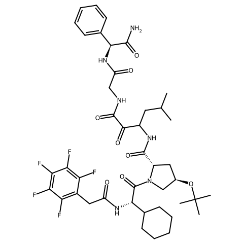 CC(C)CC(NC(=O)[C@@H]1C[C@@H](OC(C)(C)C)CN1C(=O)[C@@H](NC(=O)Cc1c(F)c(F)c(F)c(F)c1F)C1CCCCC1)C(=O)C(=O)NCC(=O)N[C@H](C(N)=O)c1ccccc1